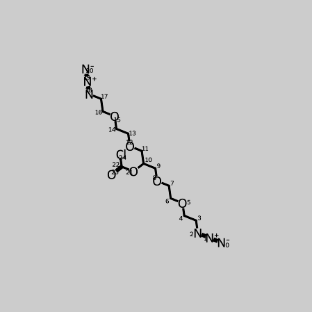 [N-]=[N+]=NCCOCCOCC(COCCOCCN=[N+]=[N-])OC(=O)Cl